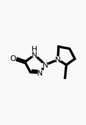 CC1CCCN1n1ncc(=O)[nH]1